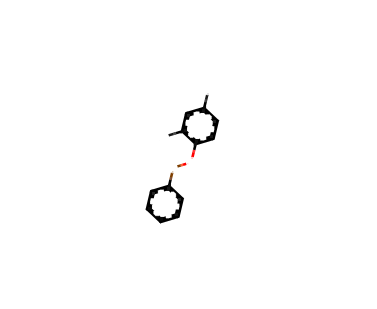 O=C(O)c1ccc(OSc2ccccc2)c(C(F)(F)F)c1